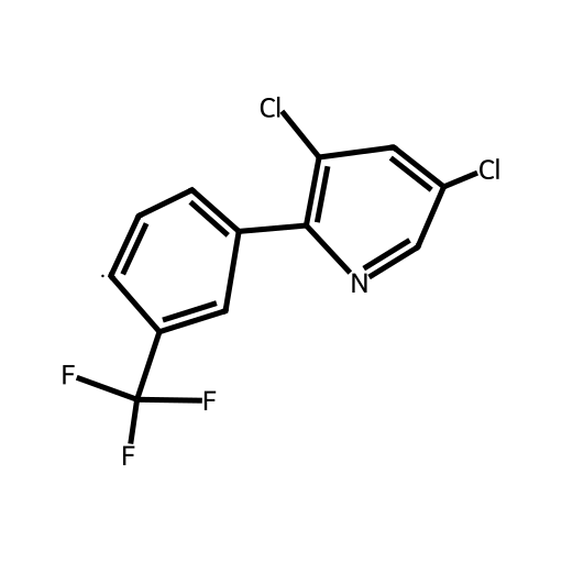 FC(F)(F)c1[c]ccc(-c2ncc(Cl)cc2Cl)c1